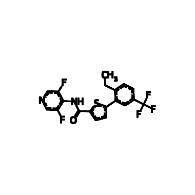 CCc1ccc(C(F)(F)F)cc1-c1ccc(C(=O)Nc2c(F)cncc2F)s1